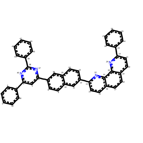 c1ccc(-c2cc(-c3ccc4cc(-c5ccc6ccc7ccc(-c8ccccc8)nc7c6n5)ccc4c3)nc(-c3ccccc3)n2)cc1